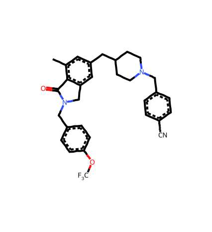 Cc1cc(CC2CCN(Cc3ccc(C#N)cc3)CC2)cc2c1C(=O)N(Cc1ccc(OC(F)(F)F)cc1)C2